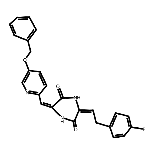 O=c1[nH]c(=Cc2ccc(OCc3ccccc3)cn2)c(=O)[nH]c1=CCc1ccc(F)cc1